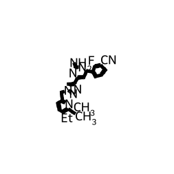 CCC(C)(C)c1cccc(Cn2cc(-c3cc(-c4cccc(C#N)c4F)nc(N)n3)nn2)n1